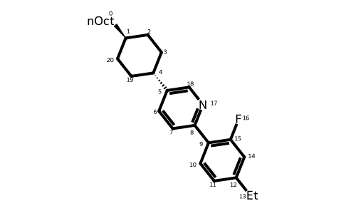 CCCCCCCC[C@H]1CC[C@H](c2ccc(-c3ccc(CC)cc3F)nc2)CC1